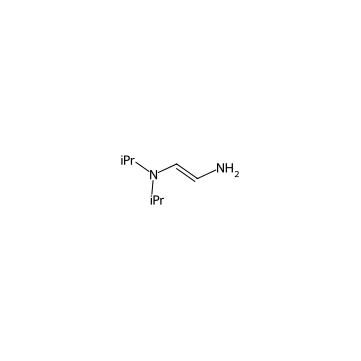 CC(C)N(C=CN)C(C)C